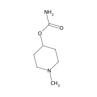 CN1CCC(OC(N)=O)CC1